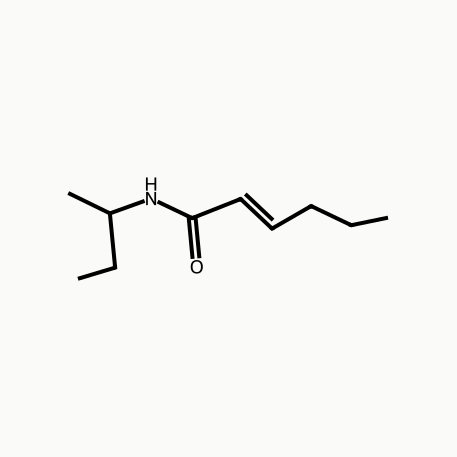 CCCC=CC(=O)NC(C)CC